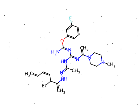 C=C/C=C\C(CC)C(=C)N/N=C(\C)NC(=N/C(=C)N1CCN(C)CC1)/N=C(\N)Oc1cccc(F)c1